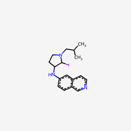 CC(C)CN1CCC(Nc2ccc3cnccc3c2)C1I